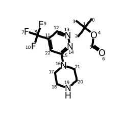 CC(C)(C)OC=O.FC(F)(F)c1cnnc(N2CCNCC2)c1